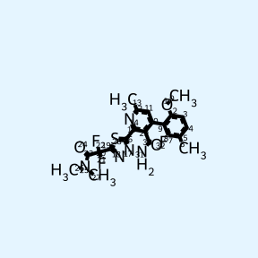 COc1ccc(C)c(F)c1-c1cc(C)nc(-c2nnc(C(F)(F)C(=O)N(C)C)s2)c1C(N)=O